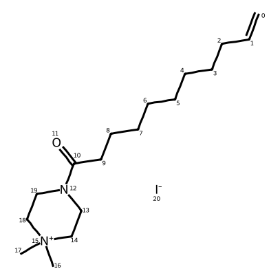 C=CCCCCCCCCC(=O)N1CC[N+](C)(C)CC1.[I-]